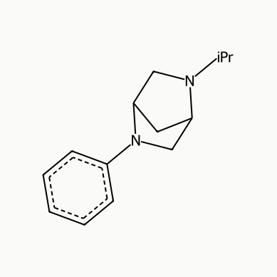 CC(C)N1CC2CC1CN2c1ccccc1